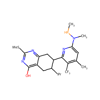 CPN(C)c1cc(C)c(C(F)(F)F)c(C2Cc3nc(SC)nc(O)c3CC2C(C)C)n1